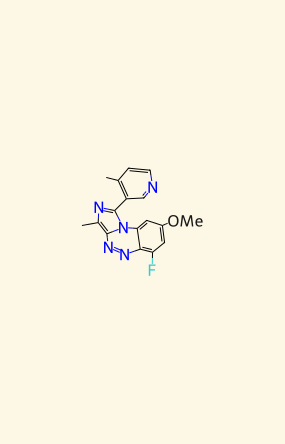 COc1cc(F)c2nnc3c(C)nc(-c4cnccc4C)n3c2c1